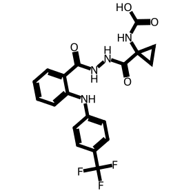 O=C(O)NC1(C(=O)NNC(=O)c2ccccc2Nc2ccc(C(F)(F)F)cc2)CC1